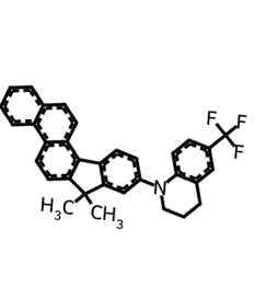 CC1(C)c2cc(N3CCCc4cc(C(F)(F)F)ccc43)ccc2-c2c1ccc1c2ccc2ccccc21